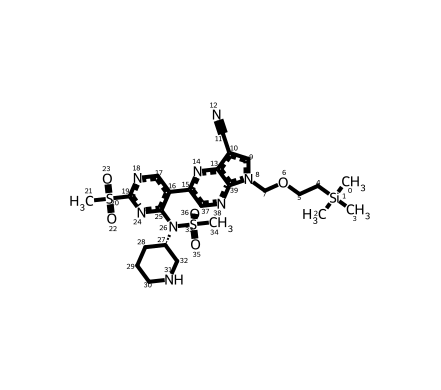 C[Si](C)(C)CCOCn1cc(C#N)c2nc(-c3cnc(S(C)(=O)=O)nc3N([C@H]3CCCNC3)S(C)(=O)=O)cnc21